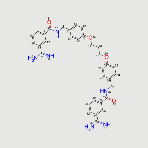 N=C(N)c1cccc(C(=O)NCc2ccc(OCCCOc3ccc(CNC(=O)c4cccc(C(=N)N)c4)cc3)cc2)c1